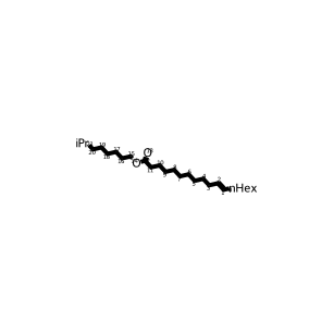 CCCCCC/C=C/CCCCCCCCCC(=O)OCCCCCCC(C)C